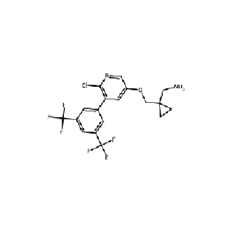 NCC1(COc2cnc(Cl)c(-c3cc(C(F)(F)F)cc(C(F)(F)F)c3)c2)CC1